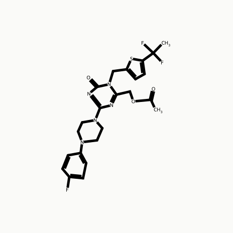 CC(=O)OCc1nc(N2CCN(c3ccc(F)cc3)CC2)nc(=O)n1Cc1ccc(C(C)(F)F)s1